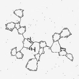 c1ccc(-n2c3ccccc3c3cc(C4=NC(c5cccc6ccccc56)NC(c5ccc([C@@H]6Cc7cc8ccccc8cc7-c7c6ccc6ccccc76)c6oc7cc8ccccc8cc7c56)=N4)ccc32)cc1